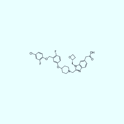 O=C(O)Cc1ccc2nc(CN3CCC(Oc4ccc(F)c(COc5ccc(Cl)cc5F)c4)CC3)n(C[C@@H]3CCO3)c2c1